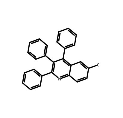 Clc1ccc2nc(-c3ccccc3)c(-c3ccccc3)c(-c3ccccc3)c2c1